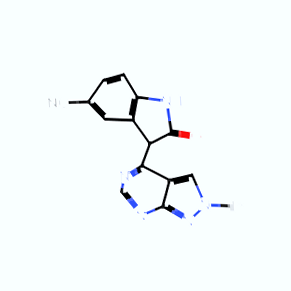 CC(C)n1cc2c(C3C(=O)Nc4ccc(C#N)cc43)ncnc2n1